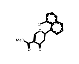 COC(=O)C1=COC(c2cccc3cccc(Cl)c23)CC1=O